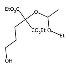 CCOC(=O)C(CCCO)(OC(C)OCC)C(=O)OCC